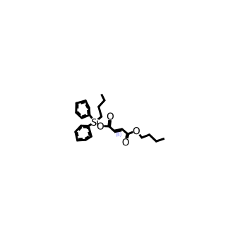 CCCCOC(=O)/C=C/C(=O)O[Si](CCCC)(c1ccccc1)c1ccccc1